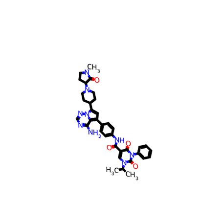 CC(C)n1cc(C(=O)Nc2ccc(-c3cc(C4CCN(C5CCN(C)C5=O)CC4)n4ncnc(N)c34)cc2)c(=O)n(-c2ccccc2)c1=O